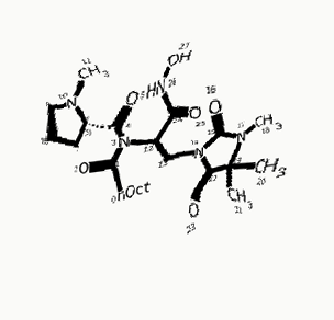 CCCCCCCCC(=O)N(C(=O)[C@@H]1CCCN1C)C(CN1C(=O)N(C)C(C)(C)C1=O)C(=O)NO